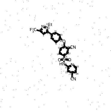 CCn1nc(C(F)(F)F)cc1-c1ccc(Oc2ccc(S(=O)(=O)Nc3cc(C#N)ccn3)cc2C#N)cc1